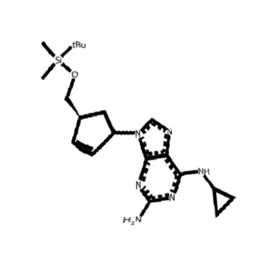 CC(C)(C)[Si](C)(C)OC[C@@H]1C=CC(n2cnc3c(NC4CC4)nc(N)nc32)C1